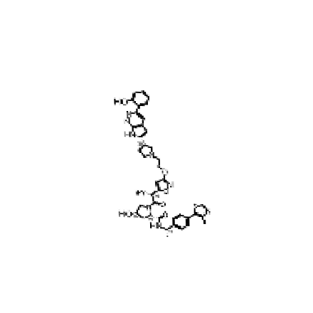 Cc1ncsc1-c1ccc([C@H](C)NC(=O)[C@@H]2C[C@@H](O)CN2C(=O)[C@@H](c2cc(OCCN3CC[C@H](c4cc5cc(-c6ccccc6O)nnc5[nH]4)C3)no2)C(C)C)cc1